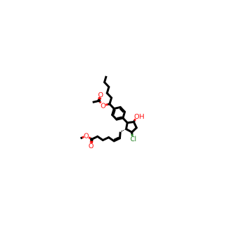 CCCCCC(OC(C)=O)c1ccc(C2C(O)CC(Cl)[C@@H]2C/C=C\CCCC(=O)OC)cc1